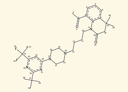 CC(=O)c1cccc2c1N(CCCCN1CCN(c3cc(C(F)(F)F)nc(C(C)(C)C)n3)CC1)C(=O)CC2(C)C